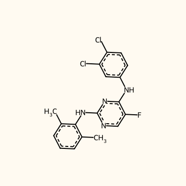 Cc1cccc(C)c1Nc1ncc(F)c(Nc2ccc(Cl)c(Cl)c2)n1